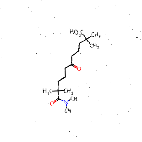 CC(C)(CCCC(=O)CCCC(C)(C)C(=O)N(C#N)C#N)C(=O)O